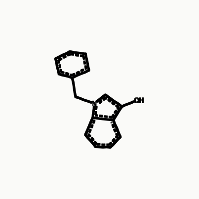 Oc1cn(Cc2ccccc2)c2ccccc12